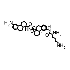 C[C@]1(C(=O)NC(=O)[C@@]2(C)CCC[C@]3(C)c4cc(NC(=O)[C@@H](N)CCCCN)ccc4CC[C@@H]23)CCC[C@]2(C)c3cc(N)ccc3CCC12